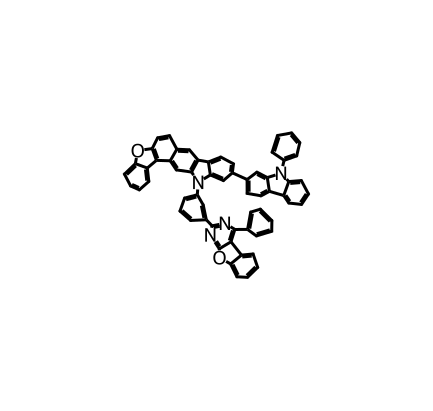 c1ccc(-c2nc(-c3cccc(-n4c5cc(-c6ccc7c8ccccc8n(-c8ccccc8)c7c6)ccc5c5cc6ccc7oc8ccccc8c7c6cc54)c3)nc3oc4ccccc4c23)cc1